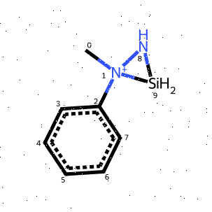 C[N+]1(c2ccccc2)N[SiH2]1